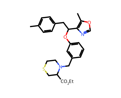 CCOC(=O)C1CSCCN1Cc1cccc(OC(Cc2ccc(C)cc2)c2ncoc2C)c1